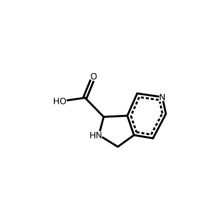 O=C(O)C1NCc2ccncc21